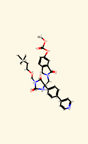 CC(C)(C)OC(=O)Oc1ccc2c(c1)C(=O)N(C[C@@]1(c3ccc(-c4ccncc4)cc3)NC(=O)N(COCC[Si](C)(C)C)C1=O)C2